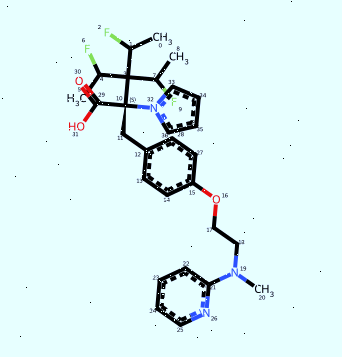 CC(F)C(C(C)F)(C(C)F)[C@@](Cc1ccc(OCCN(C)c2ccccn2)cc1)(C(=O)O)n1cccc1